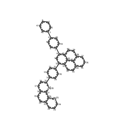 c1ccc(-c2ccc(-c3cc(-c4ccc(-c5ccc6ccc7cccnc7c6n5)cc4)c4ccc5cccc6ccc3c4c65)cc2)cc1